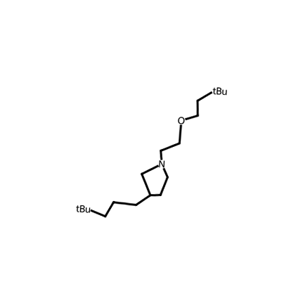 CC(C)(C)CCCC1CCN(CCOCCC(C)(C)C)C1